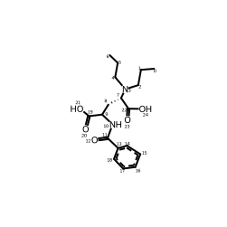 CCCN(CCC)[C@@H](CC(NC(=O)c1ccccc1)C(=O)O)C(=O)O